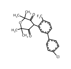 CC1(C)OC(C)(C)C(=O)C(c2cc(-c3ccc(Cl)cc3)ccc2C(F)(F)F)C1=O